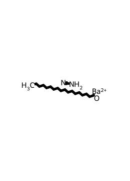 CCCCCCCCCCCCCCCCC[C](=O)[Ba+2].N#CN